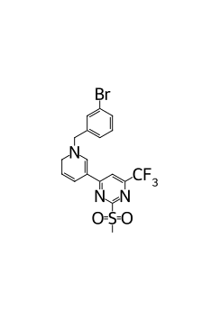 CS(=O)(=O)c1nc(C2=CN(Cc3cccc(Br)c3)CC=C2)cc(C(F)(F)F)n1